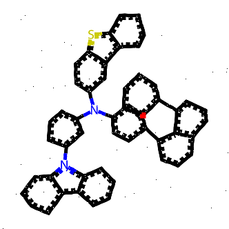 c1ccc(-c2cccc3cccc(-c4ccc(N(c5cccc(-n6c7ccccc7c7ccccc76)c5)c5ccc6sc7ccccc7c6c5)cc4)c23)cc1